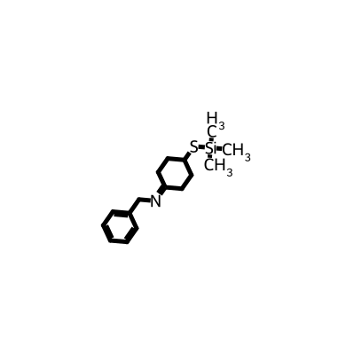 C[Si](C)(C)SC1CCC(=NCc2ccccc2)CC1